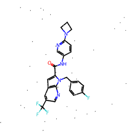 O=C(Nc1ccc(N2CCC2)nc1)c1cc2cc(C(F)(F)F)cnc2n1Cc1ccc(F)cc1